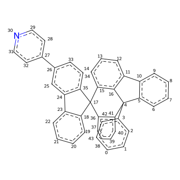 c1ccc(C23c4ccccc4-c4cccc(c42)C2(c4ccccc4-c4cc(-c5ccncc5)ccc42)c2ccccc23)cc1